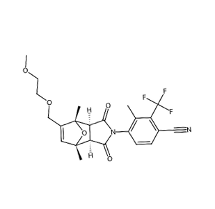 COCCOCC1=C[C@]2(C)O[C@@]1(C)[C@H]1C(=O)N(c3ccc(C#N)c(C(F)(F)F)c3C)C(=O)[C@H]12